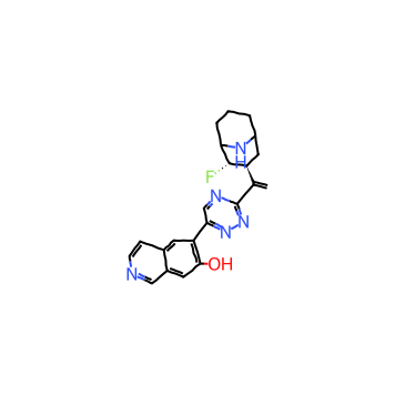 C=C(c1ncc(-c2cc3ccncc3cc2O)nn1)[C@@H]1CC2CCCC(N2)[C@H]1F